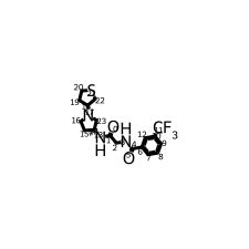 O=C(CNC(=O)c1cccc(C(F)(F)F)c1)N[C@@H]1CCN(C2CCSC2)C1